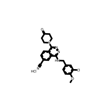 COc1ccc(CNc2nnc(N3CCC(=O)CC3)c3ccc(C#N)cc23)cc1Cl.Cl